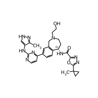 Cc1n[nH]cc1Nc1nccc(-c2ccc3c(c2)CN(CCO)CC[C@@H]3NC(=O)c2nnc(C3(C)CC3)o2)n1